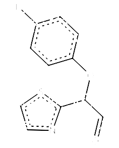 O=CC(Oc1ccc(F)cc1)c1nccs1